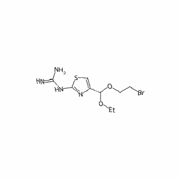 CCOC(OCCBr)c1csc(NC(=N)N)n1